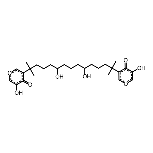 CC(C)(CCCC(O)CCCC(O)CCCC(C)(C)c1cocc(O)c1=O)c1cocc(O)c1=O